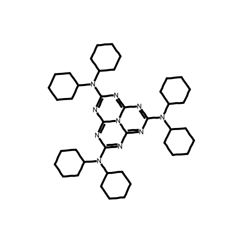 C1CCC(N(C2=NC3=NC(N(C4CCCCC4)C4CCCCC4)=NC4=NC(N(C5CCCCC5)C5CCCCC5)=NC(=N2)N34)C2CCCCC2)CC1